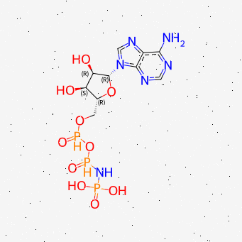 Nc1ncnc2c1ncn2[C@@H]1O[C@H](CO[PH](=O)O[PH](=O)NP(=O)(O)O)[C@@H](O)[C@H]1O